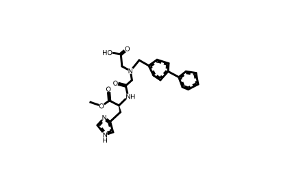 COC(=O)[C@H](Cc1c[nH]cn1)NC(=O)CN(CC(=O)O)Cc1ccc(-c2ccccc2)cc1